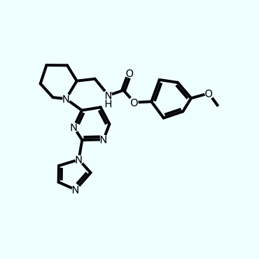 COc1ccc(OC(=O)NCC2CCCCN2c2ccnc(-n3ccnc3)n2)cc1